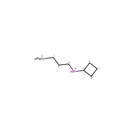 CCCCCCCCPC1CCC1